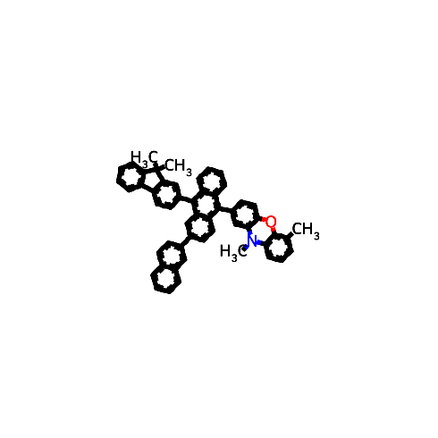 Cc1cccc2c1Oc1ccc(-c3c4ccccc4c(-c4ccc5c(c4)C(C)(C)c4ccccc4-5)c4cc(-c5ccc6ccccc6c5)ccc34)cc1N2C